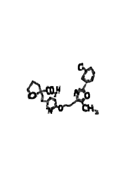 Cc1oc(-c2cccc(Cl)c2)nc1CCOc1ccc(CC2(C(=O)O)CCCO2)cn1